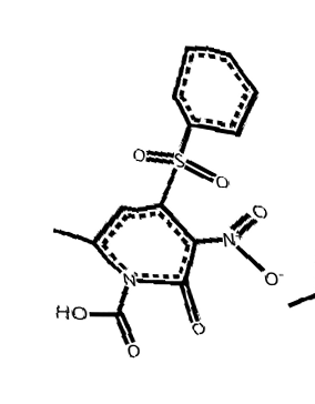 CCC.Cc1cc(S(=O)(=O)c2ccccc2)c([N+](=O)[O-])c(=O)n1C(=O)O